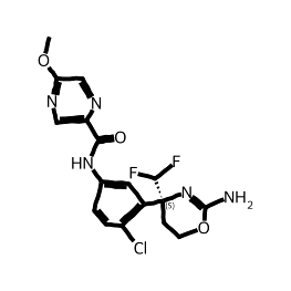 COc1cnc(C(=O)Nc2ccc(Cl)c([C@]3(C(F)F)CCOC(N)=N3)c2)cn1